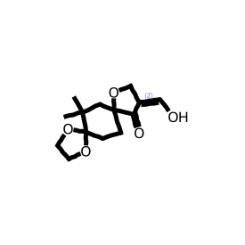 CC1(C)CC2(CCC13OCCO3)OC/C(=C/O)C2=O